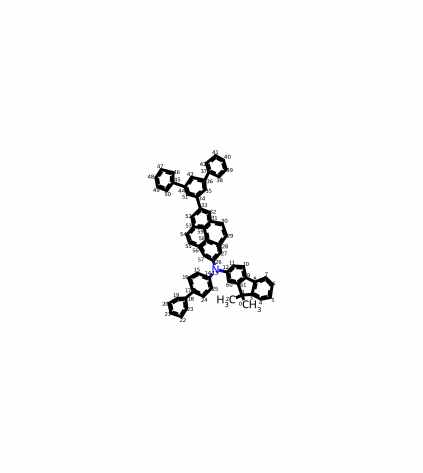 CC1(C)c2ccccc2-c2ccc(N(c3ccc(-c4ccccc4)cc3)c3cc4ccc5cc(-c6cc(-c7ccccc7)cc(-c7ccccc7)c6)cc6ccc(c3)c4c56)cc21